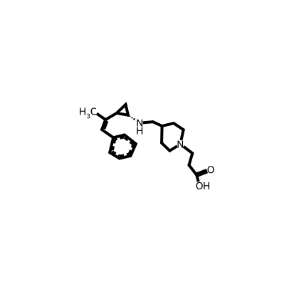 CC(=Cc1ccccc1)C1C[C@@H]1NCC1CCN(CCC(=O)O)CC1